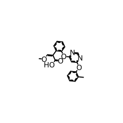 COC=C(C(=O)O)c1ccccc1Oc1cc(Oc2ccccc2C)ncn1